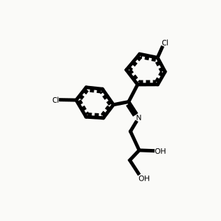 OCC(O)CN=C(c1ccc(Cl)cc1)c1ccc(Cl)cc1